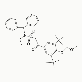 CCN(C(c1ccccc1)c1ccccc1)S(=O)(=O)CC(=O)c1cc(C(C)(C)C)c(OCOC)c(C(C)(C)C)c1